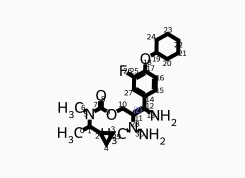 CC(C1CC1)N(C)C(=O)OC/C(=C(/N)c1ccc(OC2CCCCC2)c(F)c1)N(C)N